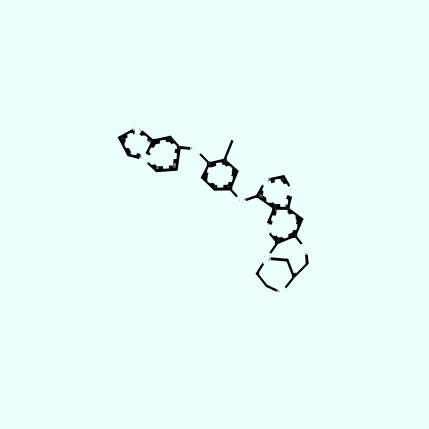 Cc1cc(Nc2ncnc3cc4c(nc23)N2CCNC(CO4)C2)ccc1Oc1ccn2ccnc2c1